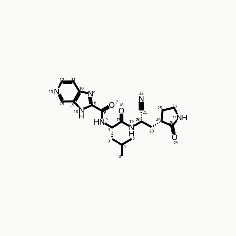 CC(C)C[C@H](NC(=O)c1nc2ccncc2[nH]1)C(=O)N[C@H](C#N)C[C@@H]1CCNC1=O